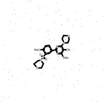 COc1ccc(-c2nc(SC)c(C#N)c(N3CCOCC3)n2)cc1S(=O)(=O)N1CCOCC1